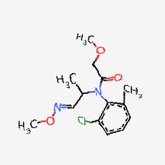 COCC(=O)N(c1c(C)cccc1Cl)C(C)/C=N/OC